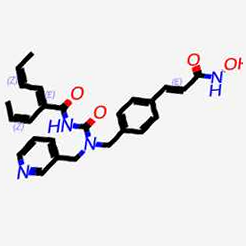 C\C=C/C=C(\C=C/C)C(=O)NC(=O)N(Cc1ccc(/C=C/C(=O)NO)cc1)Cc1cccnc1